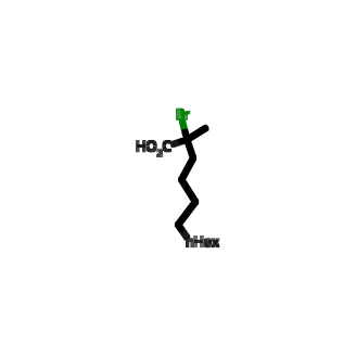 CCCCCCCCCCC(C)(Br)C(=O)O